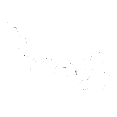 Cn1c(-c2c[nH]nc2C(c2ccccc2)(c2ccccc2)c2cccc(C(F)(F)F)c2)cnc1C(=O)Nc1ccc(C(=O)N2CCN(C(=O)OC(C)(C)C)CC2)c(F)c1